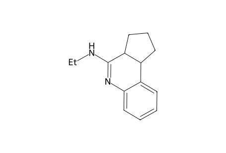 CCNC1=Nc2ccccc2C2CCCC12